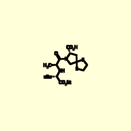 CCCC[C@H](N[C@@H](C)C(=O)N1CC2(C[C@H]1C(=O)O)SCCS2)C(=O)OCC